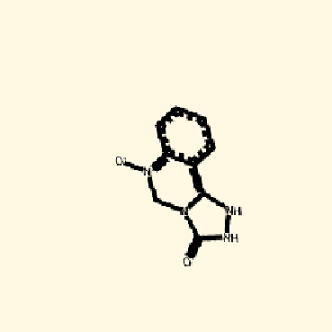 O=C1NNC2=c3ccccc3=[N+]([O-])CN12